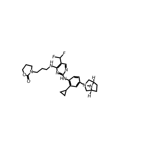 CN1[C@@H]2CC[C@H]1CN(c1ccc(Nc3ncc(C(F)F)c(NCCCN4CCCOC4=O)n3)c(C3CC3)c1)C2